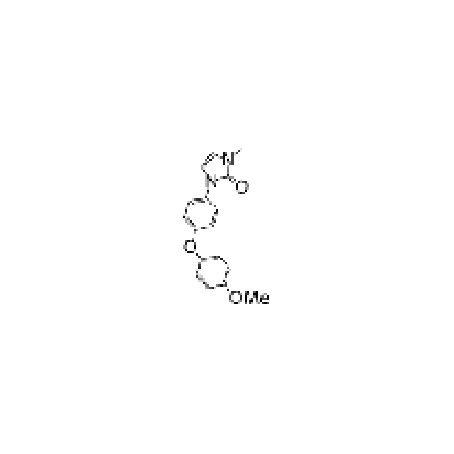 COc1ccc(Oc2ccc(-n3ccn(C)c3=O)cc2)cc1